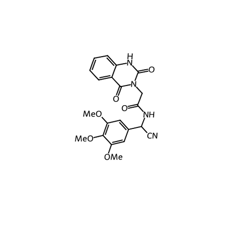 COc1cc(C(C#N)NC(=O)Cn2c(=O)[nH]c3ccccc3c2=O)cc(OC)c1OC